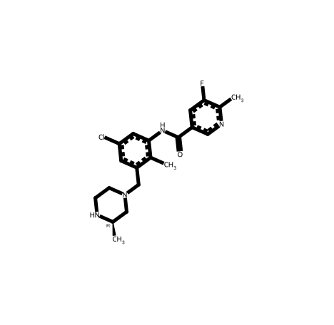 Cc1ncc(C(=O)Nc2cc(Cl)cc(CN3CCN[C@H](C)C3)c2C)cc1F